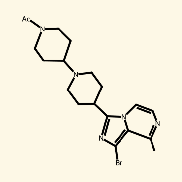 CC(=O)N1CCC(N2CCC(c3nc(Br)c4c(C)nccn34)CC2)CC1